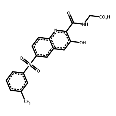 O=C(O)CNC(=O)c1nc2ccc(S(=O)(=O)c3cccc(C(F)(F)F)c3)cc2cc1O